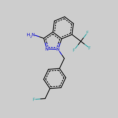 Nc1nn(Cc2ccc(CF)cc2)c2c(C(F)(F)F)cccc12